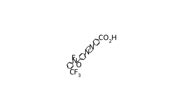 O=C(O)c1ccc(N2CCN(c3ccc(C(=O)N(F)c4cccc(C(F)(F)F)c4)cc3)CC2)cc1